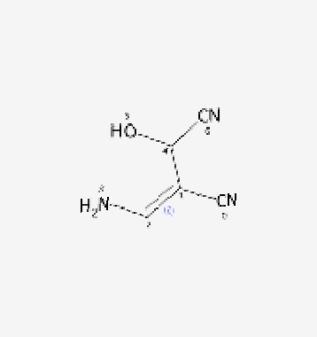 N#C/C(=C/N)C(O)C#N